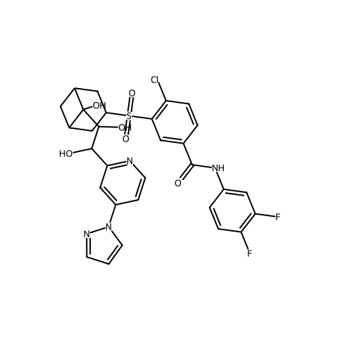 O=C(Nc1ccc(F)c(F)c1)c1ccc(Cl)c(S(=O)(=O)C2CC3CC(C2)C3(O)C(O)C(O)c2cc(-n3cccn3)ccn2)c1